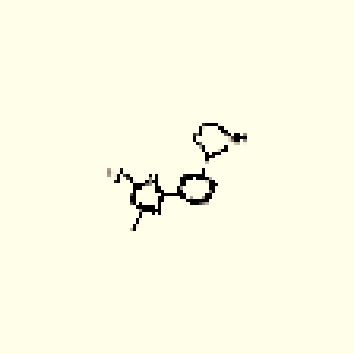 Cc1cc(C(F)(F)F)nc(-c2[c]ccc([C@@H]3CNCCO3)c2)n1